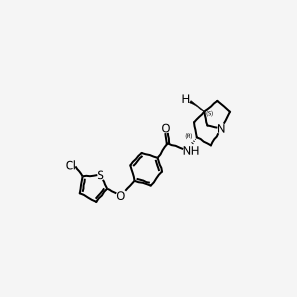 O=C(N[C@@H]1C[C@@H]2CCN(C2)C1)c1ccc(Oc2ccc(Cl)s2)cc1